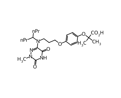 CCCC(CCC)N(CCCOc1ccc(OC(C)(C)C(=O)O)cc1)c1nn(C)c(=O)[nH]c1=O